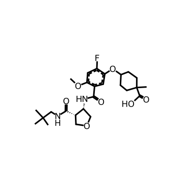 COc1cc(F)c(OC2CCC(C)(C(=O)O)CC2)cc1C(=O)N[C@@H]1COC[C@@H]1C(=O)NCC(C)(C)C